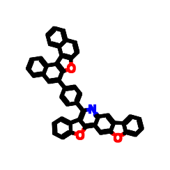 c1ccc2c(c1)ccc1oc3c(-c4ccc(-c5nc6cc7c(cc6c6oc8ccccc8c56)oc5ccccc57)cc4)cc4ccccc4c3c12